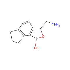 NCC1OB(O)c2c1ccc1c2CCC1